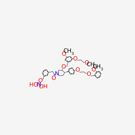 COCCCOc1cc(COC2CN(C(=O)Cc3cccc(CON(O)O)c3)CC[C@@H]2c2ccc(OCCCOCc3ccccc3OC)cc2)cc(OC)c1